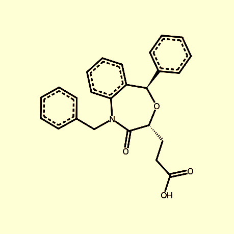 O=C(O)CC[C@H]1O[C@H](c2ccccc2)c2ccccc2N(Cc2ccccc2)C1=O